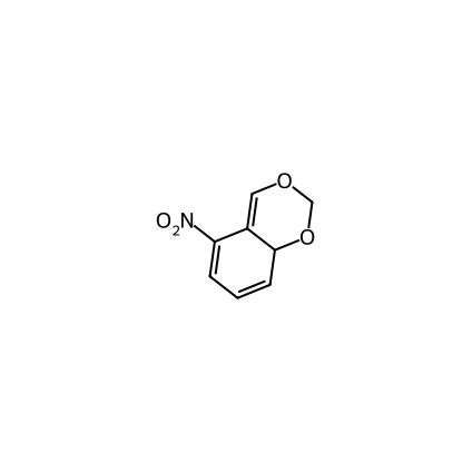 O=[N+]([O-])C1=CC=CC2OCOC=C12